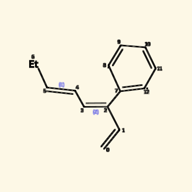 C=C/C(=C/C=C/CC)c1[c]ccc[c]1